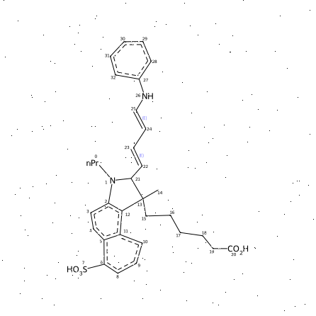 CCCN1c2ccc3c(S(=O)(=O)O)cccc3c2C(C)(CCCCCC(=O)O)C1/C=C/C=C/Nc1ccccc1